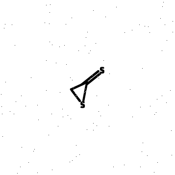 S=C1CS1